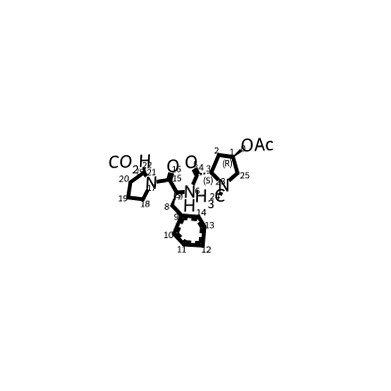 CC(=O)O[C@@H]1C[C@@H](C(=O)N[C@@H](Cc2ccccc2)C(=O)N2CCC[C@H]2C(=O)O)N(C)C1